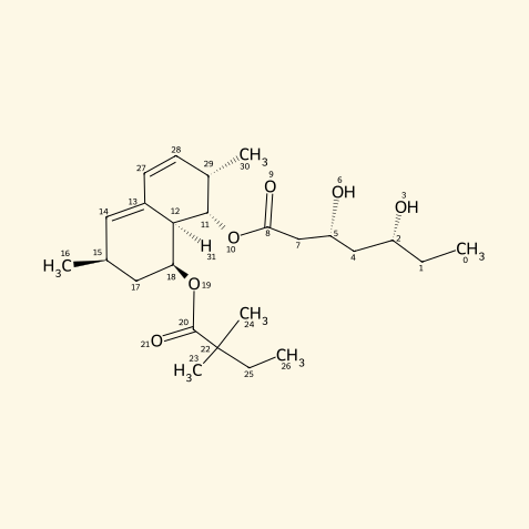 CC[C@@H](O)C[C@@H](O)CC(=O)O[C@@H]1[C@@H]2C(=C[C@H](C)C[C@@H]2OC(=O)C(C)(C)CC)C=C[C@@H]1C